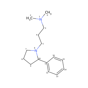 CN(C)CCCN1CCCC1c1ccccc1